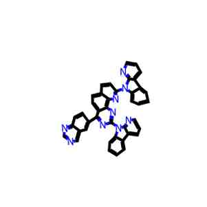 c1ccc2c(c1)c1cccnc1n2-c1ccc2ccc3c(-c4ccc5ncncc5c4)nc(-n4c5ccccc5c5cccnc54)nc3c2n1